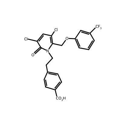 O=C(O)c1ccc(CCn2c(COc3cccc(C(F)(F)F)c3)c(Cl)cc(Cl)c2=O)cc1